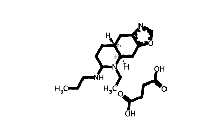 CCCNC1CC[C@@H]2Cc3ncoc3C[C@H]2N1CC.O=C(O)CCC(=O)O